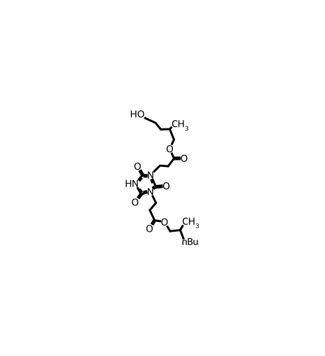 CCCCC(C)COC(=O)CCn1c(=O)[nH]c(=O)n(CCC(=O)OCC(C)CCCO)c1=O